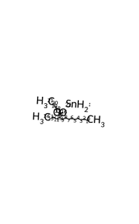 CCCCCCCCCCC(CCCC)C(=O)OCCCC.[SnH2]